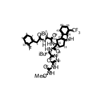 CCC(C)[C@H](NC(=O)Cc1ccccc1F)C(=O)N[C@]1(C(=O)N[C@H](c2nnc(NC(=O)NOC)o2)C(C)CC)CCc2[nH]c3c(C(F)(F)F)cccc3c2C1